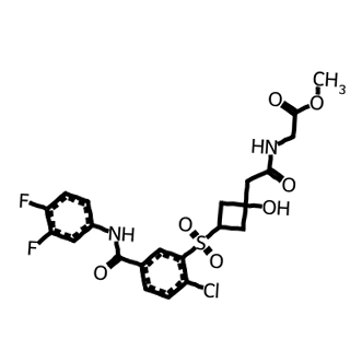 COC(=O)CNC(=O)CC1(O)CC(S(=O)(=O)c2cc(C(=O)Nc3ccc(F)c(F)c3)ccc2Cl)C1